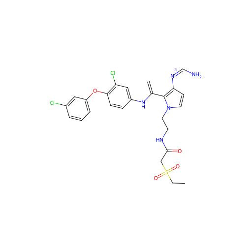 C=C(Nc1ccc(Oc2cccc(Cl)c2)c(Cl)c1)c1c(/N=C\N)ccn1CCNC(=O)CS(=O)(=O)CC